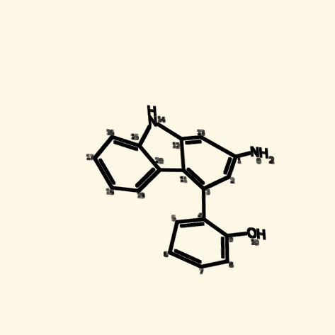 Nc1cc(-c2ccccc2O)c2c(c1)[nH]c1ccccc12